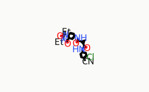 CCn1c(=O)c2cc(NC(=O)C3CC3C(=O)Nc3ccc(C#N)c(Cl)c3)ccc2n(CC)c1=O